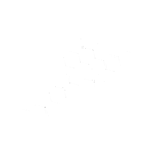 CCOC(=O)C1CCN(C(=O)CCNS(=O)(=O)c2ccc(OC)cc2C(CC2CCCCC2)C(=O)NO)CC1